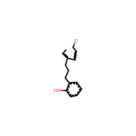 C/C=C(\C=C/CCl)CCCc1ccccc1O